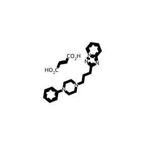 O=C(O)C=CC(=O)O.c1ccc(N2CCN(CCCc3nc4ccccn4n3)CC2)cc1